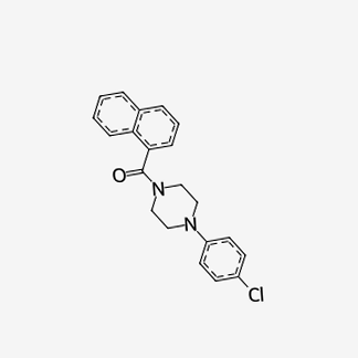 O=C(c1cccc2ccccc12)N1CCN(c2ccc(Cl)cc2)CC1